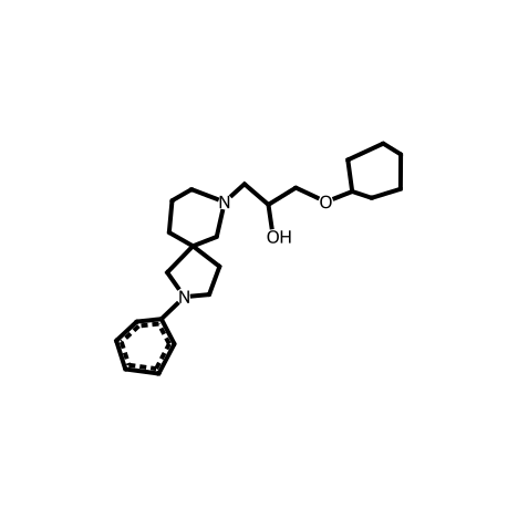 OC(COC1CCCCC1)CN1CCCC2(CCN(c3ccccc3)C2)C1